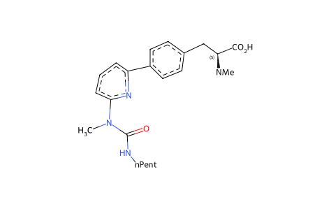 CCCCCNC(=O)N(C)c1cccc(-c2ccc(C[C@H](NC)C(=O)O)cc2)n1